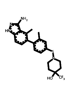 Cc1cc(SN2CCC(O)(C(F)(F)F)CC2)ccc1-c1ccc2[nH]nc(N)c2c1C